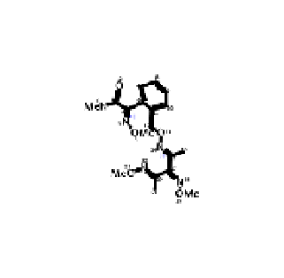 CNC(=O)/C(=N/OC)c1ccccc1CO/N=C(\C)C(=NOC)C(C)=NOC